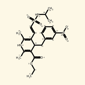 CCOC(=O)C1=C(C)NC(C)=C(C=CS(=O)(=O)NC(C)C)C1Cc1cccc([N+](=O)[O-])c1